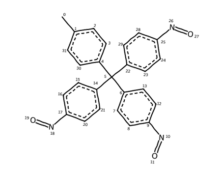 Cc1ccc(C(c2ccc(N=O)cc2)(c2ccc(N=O)cc2)c2ccc(N=O)cc2)cc1